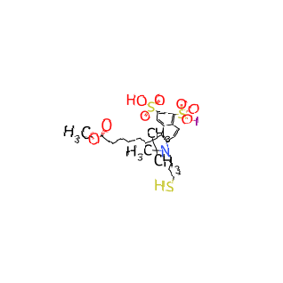 COC(=O)CCCCCC1(C)c2c(ccc3c(S(=O)(=O)OI)cc(S(=O)(=O)O)cc23)N(CCCS)C1(C)C